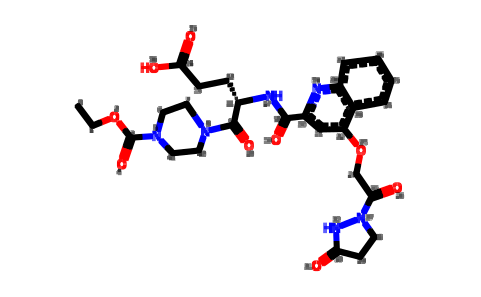 CCOC(=O)N1CCN(C(=O)[C@H](CCC(=O)O)NC(=O)c2cc(OCC(=O)N3CCC(=O)N3)c3ccccc3n2)CC1